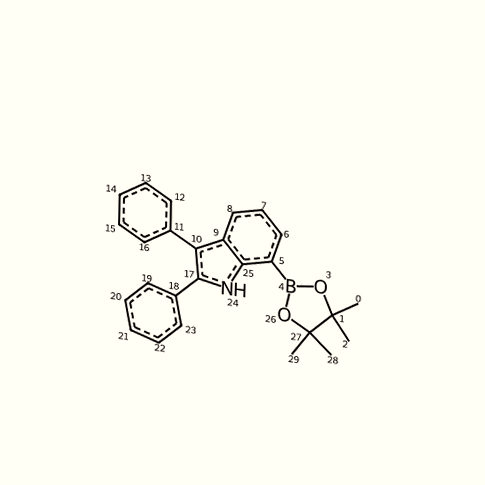 CC1(C)OB(c2cccc3c(-c4ccccc4)c(-c4ccccc4)[nH]c23)OC1(C)C